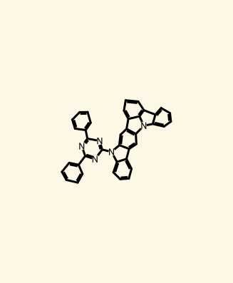 c1ccc(-c2nc(-c3ccccc3)nc(-n3c4ccccc4c4cc5c(cc43)c3cccc4c6ccccc6n5c43)n2)cc1